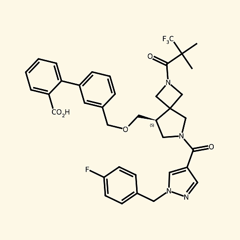 CC(C)(C(=O)N1CC2(CN(C(=O)c3cnn(Cc4ccc(F)cc4)c3)C[C@H]2COCc2cccc(-c3ccccc3C(=O)O)c2)C1)C(F)(F)F